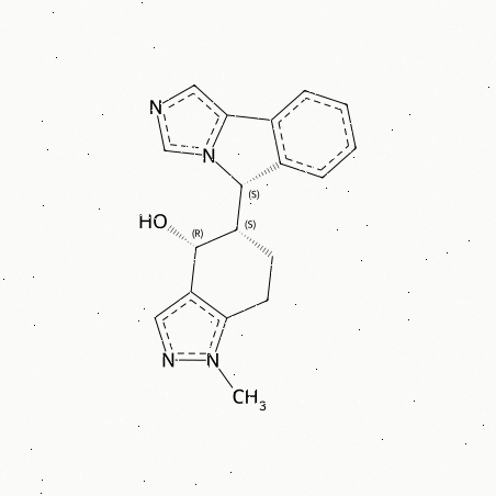 Cn1ncc2c1CC[C@@H]([C@H]1c3ccccc3-c3cncn31)[C@H]2O